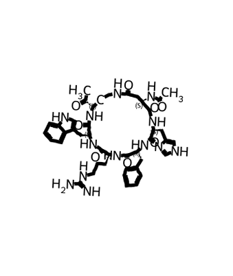 CC(=O)N[C@H]1CC(=O)NCC[C@@H](C(C)=O)NC(=O)[C@H](Cc2c[nH]c3ccccc23)NC(=O)[C@H](CCCNC(=N)N)NC(=O)[C@@H](Cc2ccccc2)NC(=O)[C@H](Cc2c[nH]cn2)NC1=O